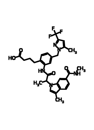 CNC(=O)c1ccc2c(C)cn(C(C)C(=O)Nc3cc(Cn4nc(C(F)(F)F)cc4C)ccc3CCCC(=O)O)c2c1